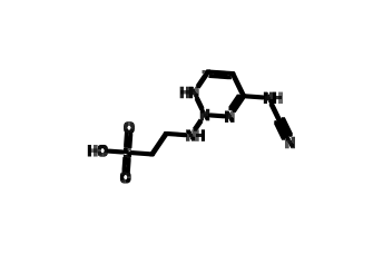 N#CNC1=NN(NCCS(=O)(=O)O)N[C]=C1